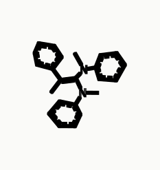 CC(=C(N(C)c1ccccc1)N(C)c1ccccc1)c1ccccc1